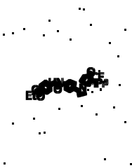 CCS(=O)(=O)c1ccc(CC(=O)Nc2ccc(C3CCN3C3=C[C@@](C(C)C)(C(F)(F)F)C(=O)C=C3)cc2)cc1